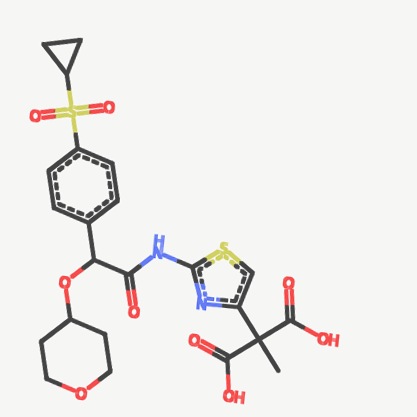 CC(C(=O)O)(C(=O)O)c1csc(NC(=O)C(OC2CCOCC2)c2ccc(S(=O)(=O)C3CC3)cc2)n1